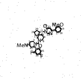 CN[C@@H]1CCN(C(=O)N2CC[C@@H](Cn3cnc(-c4ccccc4OC)cc3=O)C3(CCCC3)C2)[C@H](c2ccc(F)cc2F)C1